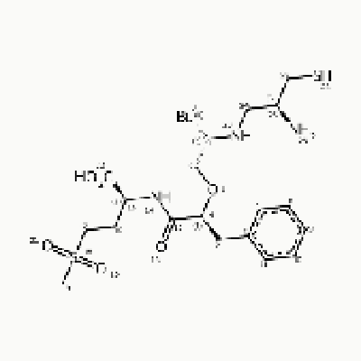 CC[C@@H](C)[C@@H](CO[C@@H](Cc1ccccc1)C(=O)N[C@@H](CCS(C)(=O)=O)C(=O)O)NC[C@H](N)CS